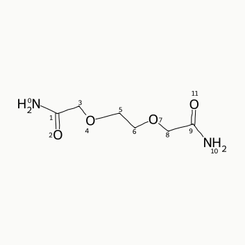 NC(=O)COCCOCC(N)=O